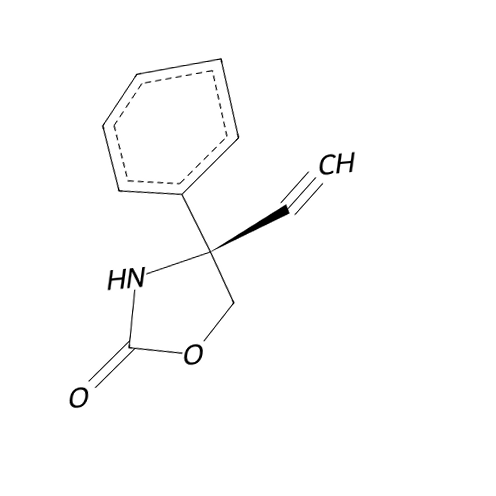 C#C[C@@]1(c2ccccc2)COC(=O)N1